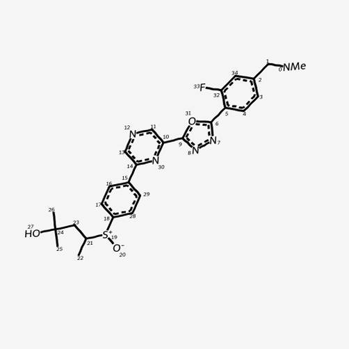 CNCc1ccc(-c2nnc(-c3cncc(-c4ccc([S+]([O-])C(C)CC(C)(C)O)cc4)n3)o2)c(F)c1